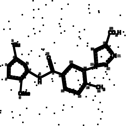 COc1ccc(C(C)(C)C)cc1NC(=O)c1ccc(C)c(-n2cc(C(=O)O)nn2)c1